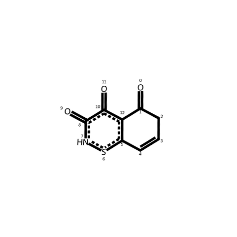 O=C1CC=Cc2s[nH]c(=O)c(=O)c21